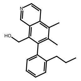 CCCc1ccccc1-c1c(C)c(C)c2ccncc2c1CO